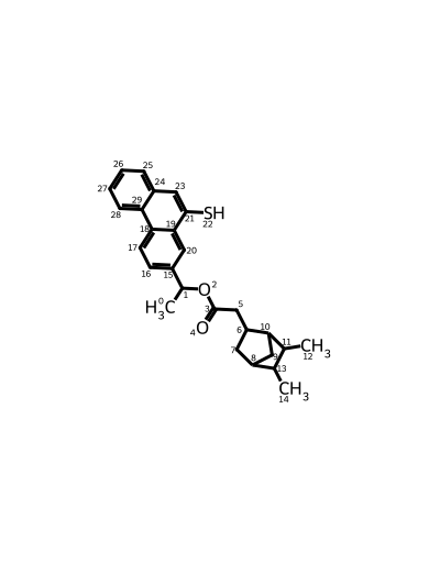 CC(OC(=O)CC1CC2CC1C(C)C2C)c1ccc2c(c1)c(S)cc1ccccc12